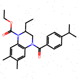 CCOC(=O)N1c2cc(C)c(C)cc2N(C(=O)c2ccc(C(C)C)cc2)CC1CC